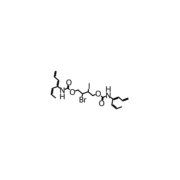 C=C/C=C(\C=C/C)NC(=O)OCC(Br)C(I)COC(=O)NC(/C=C\C)=C/C=C